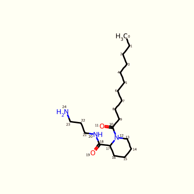 CCCCCCCCCCC(=O)N1CCCCC1C(=O)NCCCN